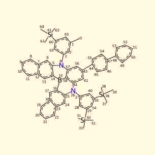 Cc1cc(N2c3cc4ccccc4cc3B3c4cc5ccccc5cc4N(c4cc([Si](C)(C)C)cc([Si](C)(C)C)c4)c4cc(-c5ccc(-c6ccccc6)cc5)cc2c43)cc([Si](C)(C)C)c1